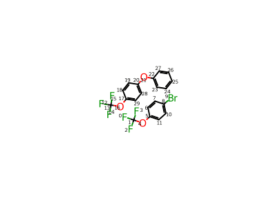 FC(F)(F)Oc1ccc(Br)cc1.FC(F)(F)Oc1ccc(Oc2ccccc2)cc1